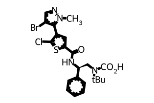 Cn1ncc(Br)c1-c1cc(C(=O)N[C@@H](CN(C(=O)O)C(C)(C)C)c2ccccc2)sc1Cl